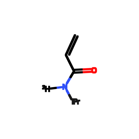 [2H]N(C(=O)C=C)C(C)C